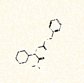 CON(C)C(=O)[C@H](NC(=O)OCc1ccccc1)C1CCCCC1